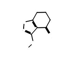 COc1nsc2c1C(=O)CCC2